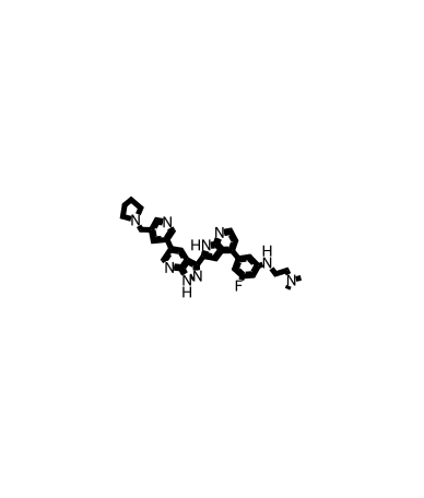 CN(C)CCNc1cc(F)cc(-c2ccnc3[nH]c(-c4n[nH]c5ncc(-c6cncc(CN7CCCC7)c6)cc45)cc23)c1